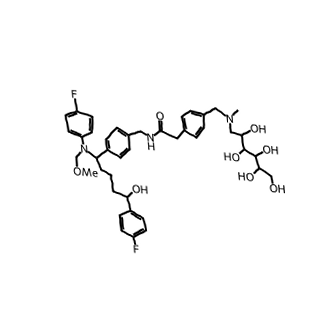 COCN(c1ccc(F)cc1)C(CCCC(O)c1ccc(F)cc1)c1ccc(CNC(=O)Cc2ccc(CN(C)CC(O)C(O)C(O)C(O)CO)cc2)cc1